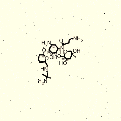 CC(C)(N)CNCC1=CCC[C@@H](O[C@H]2[C@H](O)[C@@H](O[C@H]3OC[C@](C)(O)C[C@H]3O)[C@H](NC(=O)CCN)C[C@@H]2N)O1